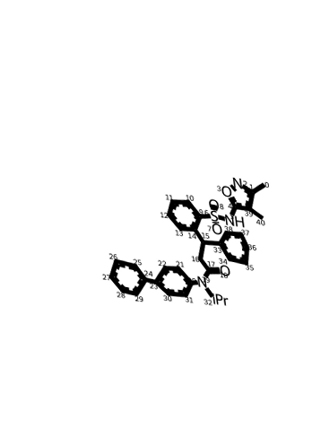 Cc1noc(NS(=O)(=O)c2ccccc2C(CC(=O)N(c2ccc(-c3ccccc3)cc2)C(C)C)c2ccccc2)c1C